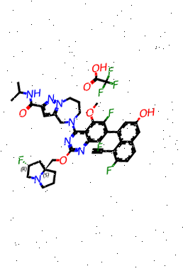 C#Cc1c(F)ccc2cc(O)cc(-c3c(F)c(OC)c4c(N5CCCn6nc(C(=O)NC(C)C)cc6C5)nc(OC[C@@]56CCCN5C[C@H](F)C6)nc4c3F)c12.O=C(O)C(F)(F)F